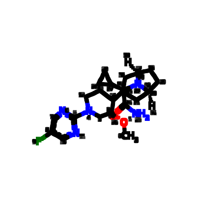 CO[C@@H]1CN(c2ncc(F)cn2)CCC1C1C[C@H]2CC[C@@H](C1)N2[C@@H](C(N)=O)C1CC1